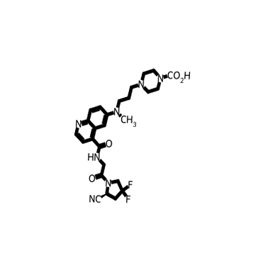 CN(CCCN1CCN(C(=O)O)CC1)c1ccc2nccc(C(=O)NCC(=O)N3CC(F)(F)C[C@H]3C#N)c2c1